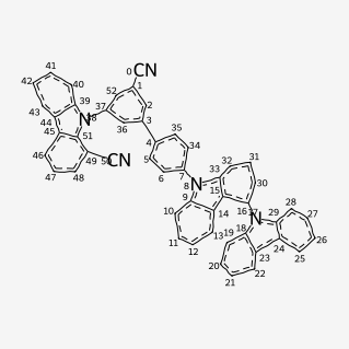 N#Cc1cc(-c2ccc(-n3c4ccccc4c4c(-n5c6ccccc6c6ccccc65)cccc43)cc2)cc(-n2c3ccccc3c3cccc(C#N)c32)c1